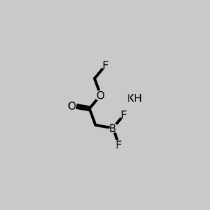 O=C(CB(F)F)OCF.[KH]